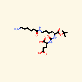 CC(C)(C)OC(=O)[C@H](CCCCNC(=O)CCCCCN)NC(=O)N[C@@H](CCC(=O)O)C(=O)O